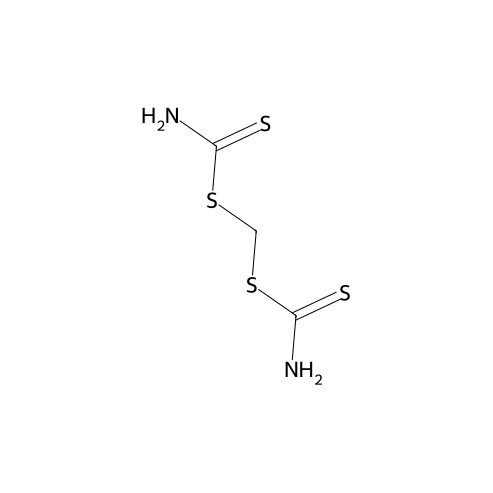 NC(=S)SCSC(N)=S